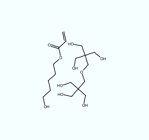 C=CC(=O)OCCCCCO.OCC(CO)(CO)COCC(CO)(CO)CO